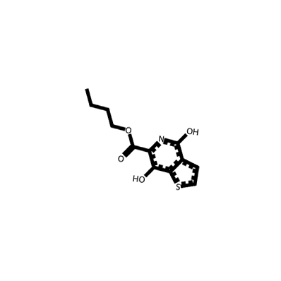 CCCCOC(=O)c1nc(O)c2ccsc2c1O